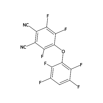 N#Cc1c(F)c(F)c(Oc2c(F)c(F)cc(F)c2F)c(F)c1C#N